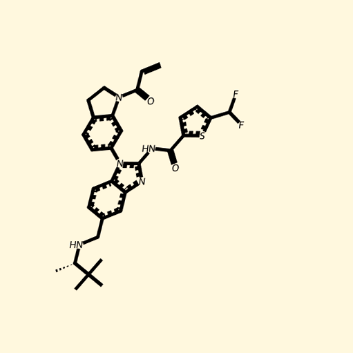 C=CC(=O)N1CCc2ccc(-n3c(NC(=O)c4ccc(C(F)F)s4)nc4cc(CN[C@@H](C)C(C)(C)C)ccc43)cc21